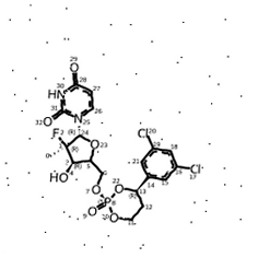 C[C@@]1(F)[C@H](O)C(CO[P@]2(=O)OCC[C@H](c3cc(Cl)cc(Cl)c3)O2)O[C@H]1n1ccc(=O)[nH]c1=O